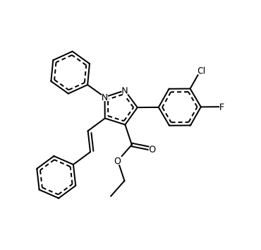 CCOC(=O)c1c(-c2ccc(F)c(Cl)c2)nn(-c2ccccc2)c1/C=C/c1ccccc1